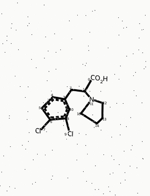 O=C(O)C(Cc1ccc(Cl)c(Cl)c1)N1CCCC1